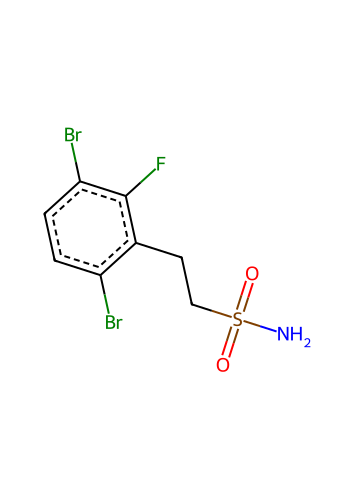 NS(=O)(=O)CCc1c(Br)ccc(Br)c1F